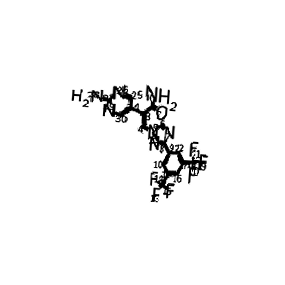 NC(=O)C(=Cn1cnc(-c2cc(C(F)(F)F)cc(C(F)(F)F)c2)n1)c1cnc(N)nc1